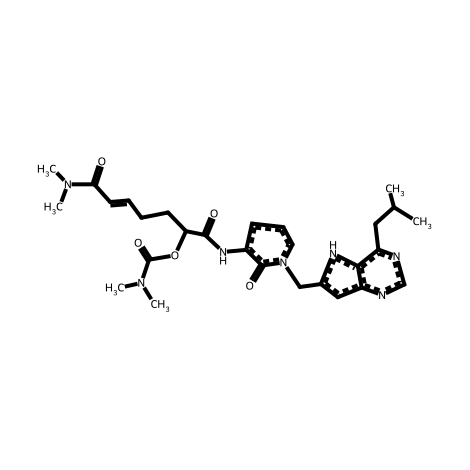 CC(C)Cc1ncnc2cc(Cn3cccc(NC(=O)C(CCC=CC(=O)N(C)C)OC(=O)N(C)C)c3=O)[nH]c12